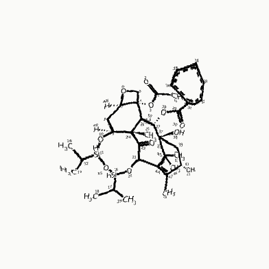 CC(=O)O[C@@]12CO[C@@H]1C[C@@H]1O[SiH](C(C)C)O[SiH](C(C)C)OC3C(=O)[C@@]1(C)[C@@H]2[C@H](OC(=O)c1ccccc1)[C@]1(O)C[C@H](O)C(C)=C3C1(C)C